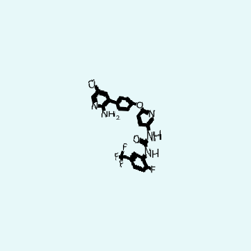 Nc1ncc(Cl)cc1-c1ccc(Oc2ccc(NC(=O)Nc3cc(C(F)(F)F)ccc3F)cn2)cc1